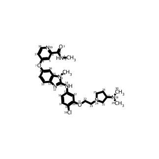 CNC(=O)c1cc(Oc2ccc3nc(Nc4ccc(Cl)c(OCCN5CCC(N(C)C)C5)c4)n(C)c3c2)ccn1